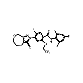 Cc1cc(F)cc(C)c1NC(=O)c1cc(F)c(-n2nc3n(c2=O)CCCOC3)cc1OCC(F)(F)F